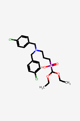 CCOC(OCC)P(=O)(O)CCCN(Cc1ccc(Cl)cc1)Cc1ccc(Cl)cc1